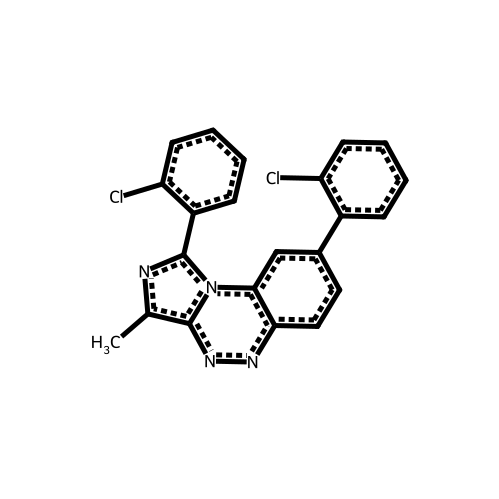 Cc1nc(-c2ccccc2Cl)n2c1nnc1ccc(-c3ccccc3Cl)cc12